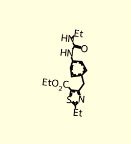 CCNC(=O)Nc1ccc(Cc2nc(CC)sc2C(=O)OCC)cc1